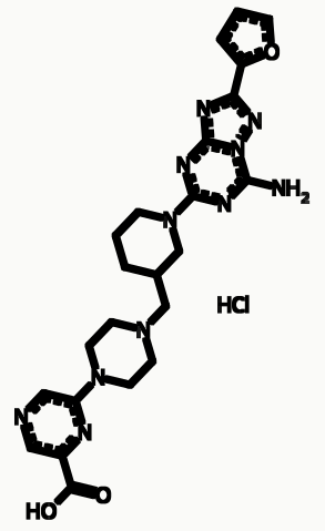 Cl.Nc1nc(N2CCCC(CN3CCN(c4cncc(C(=O)O)n4)CC3)C2)nc2nc(-c3ccco3)nn12